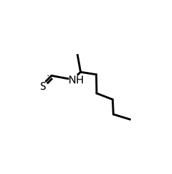 CCCCCC(C)N[C]=S